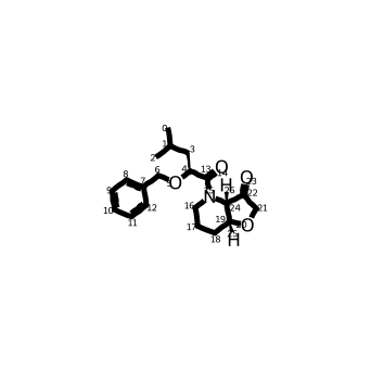 CC(C)C[C@H](OCc1ccccc1)C(=O)N1CCC[C@H]2OCC(=O)[C@H]21